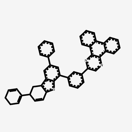 C1=CC(C2C=Cc3sc4c(-c5cccc(-c6cnc7c8ccccc8c8ccccc8c7n6)c5)cc(-c5ccccc5)cc4c3C2)=CCC1